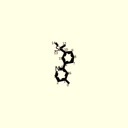 Cc1ccnc(-c2cccc([Si](C)(C)C)c2)c1